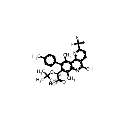 Cc1ccc(-c2c([C@H](OC(C)(C)C)C(=O)O)c(C)c3nc(O)c4ccc(C(F)(F)F)nc4c3c2C)cc1